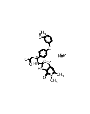 COc1cccc(Oc2ccc([C@H](CC(=O)[O-])NC(=O)Nc3c([O-])cc(C)n(C)c3=O)cc2)c1.[Na+].[Na+]